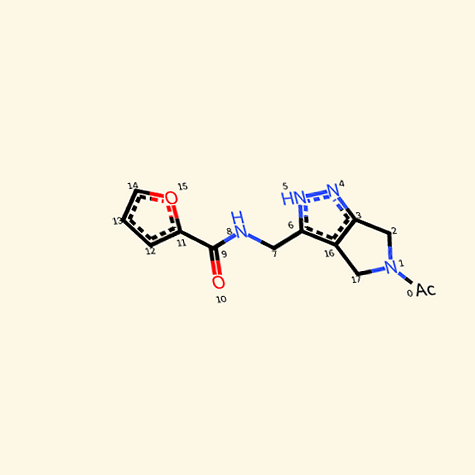 CC(=O)N1Cc2n[nH]c(CNC(=O)c3ccco3)c2C1